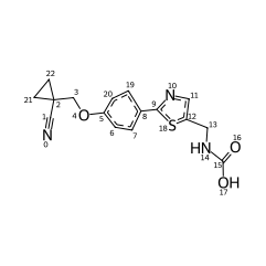 N#CC1(COc2ccc(-c3ncc(CNC(=O)O)s3)cc2)CC1